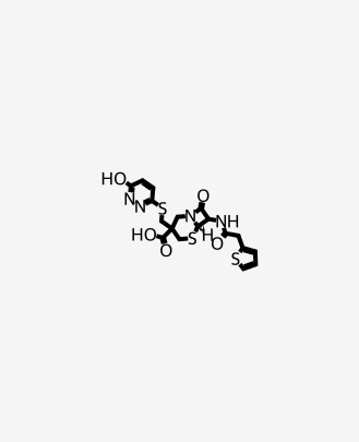 O=C(Cc1cccs1)NC1C(=O)N2CC(CSc3ccc(O)nn3)(C(=O)O)CS[C@H]12